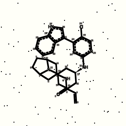 C=CC(=O)NC1CC2CCC(C1)N2C1CCC[C@@H](Nc2ncc(Cl)c(-c3c[nH]c4ccccc34)n2)C1